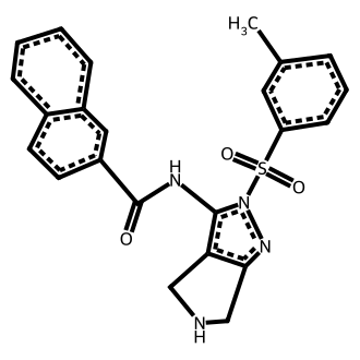 Cc1cccc(S(=O)(=O)n2nc3c(c2NC(=O)c2ccc4ccccc4c2)CNC3)c1